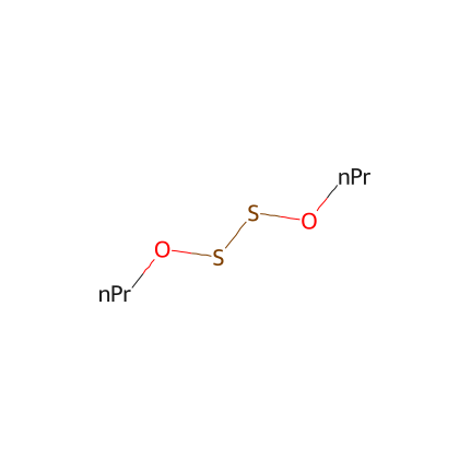 CCCOSSOCCC